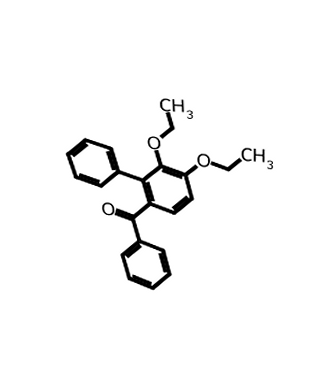 CCOc1ccc(C(=O)c2ccccc2)c(-c2ccccc2)c1OCC